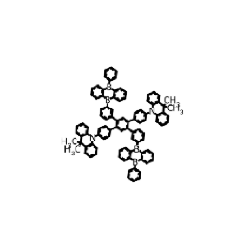 CC1(C)c2ccccc2N(c2ccc(-c3cc(-c4cccc(B5c6ccccc6B(c6ccccc6)c6ccccc65)c4)c(-c4ccc(N5c6ccccc6C(C)(C)c6ccccc65)cc4)cc3-c3cccc(B4c5ccccc5B(c5ccccc5)c5ccccc54)c3)cc2)c2ccccc21